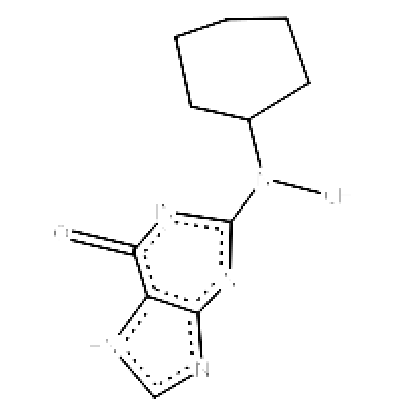 CN(c1nc2nc[nH]c2c(=O)[nH]1)C1CCCCC1